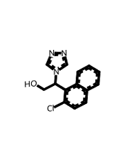 OCC(c1c(Cl)ccc2ccccc12)n1cnnc1